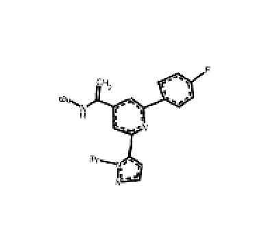 C=C(NC(C)(C)C)c1cc(-c2ccc(F)cc2)nc(-c2ccnn2C(C)C)c1